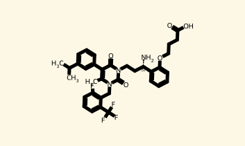 Cc1c(-c2cccc(C(C)C)c2)c(=O)n(CC[C@H](N)c2ccccc2OCCCC(=O)O)c(=O)n1Cc1c(F)cccc1C(F)(F)F